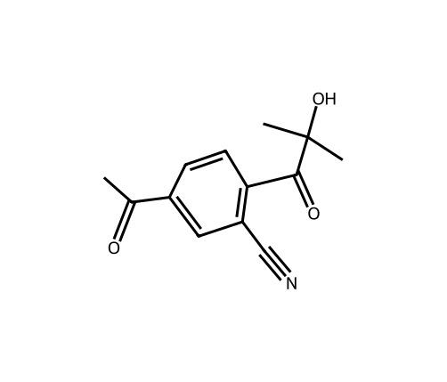 CC(=O)c1ccc(C(=O)C(C)(C)O)c(C#N)c1